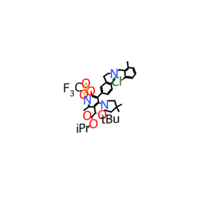 Cc1cccc(Cl)c1CN1CCc2cc(-c3c(OS(=O)(=O)C(F)(F)F)nc(C)c([C@H](OC(C)(C)C)C(=O)OC(C)C)c3N3CCC(C)(C)CC3)ccc2C1